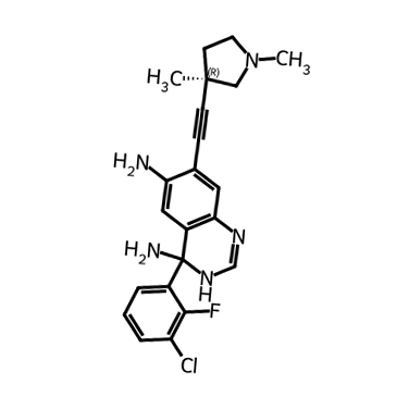 CN1CC[C@](C)(C#Cc2cc3c(cc2N)C(N)(c2cccc(Cl)c2F)NC=N3)C1